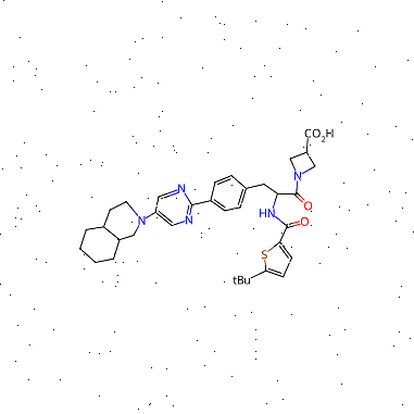 CC(C)(C)c1ccc(C(=O)NC(Cc2ccc(-c3ncc(N4CCC5CCCCC5C4)cn3)cc2)C(=O)N2CC(C(=O)O)C2)s1